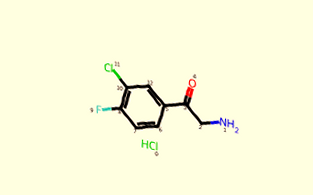 Cl.NCC(=O)c1ccc(F)c(Cl)c1